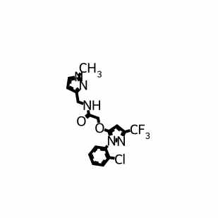 Cn1ccc(CNC(=O)COc2cc(C(F)(F)F)nn2-c2ccccc2Cl)n1